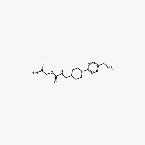 CCc1cnc(N2CCC(CNC(=O)OCC(N)=O)CC2)nc1